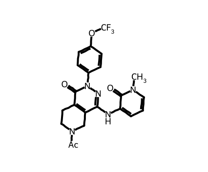 CC(=O)N1CCc2c(c(Nc3cccn(C)c3=O)nn(-c3ccc(OC(F)(F)F)cc3)c2=O)C1